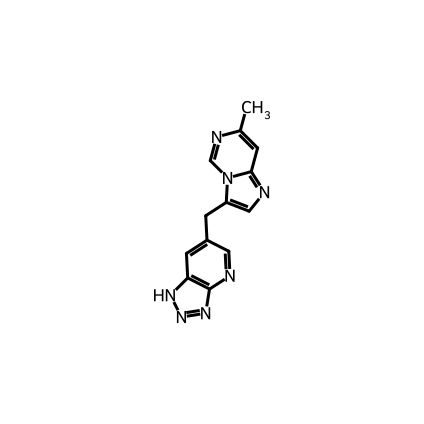 Cc1cc2ncc(Cc3cnc4nn[nH]c4c3)n2cn1